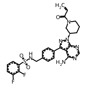 C=CC(=O)N1CCC[C@@H](n2nc(-c3ccc(CNS(=O)(=O)c4cccc(F)c4F)cc3)c3c(N)ncnc32)C1